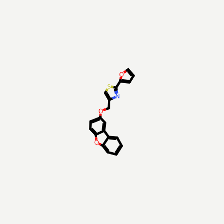 c1coc(-c2nc(COc3ccc4oc5ccccc5c4c3)cs2)c1